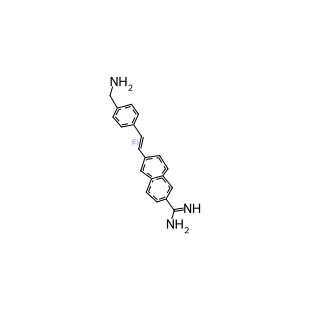 N=C(N)c1ccc2cc(/C=C/c3ccc(CN)cc3)ccc2c1